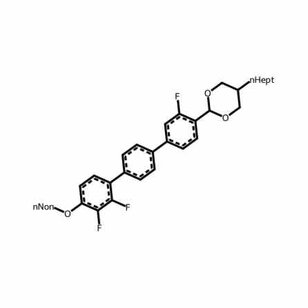 CCCCCCCCCOc1ccc(-c2ccc(-c3ccc(C4OCC(CCCCCCC)CO4)c(F)c3)cc2)c(F)c1F